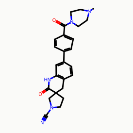 CN1CCN(C(=O)c2ccc(-c3ccc4c(c3)NC(=O)C3(CCN(C#N)C3)C4)cc2)CC1